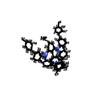 Cc1ccc(-c2ccc3c4ccc(-c5ccc(C)cc5)cc4n(-c4cc(C#N)cc(-n5c6cc(-c7ccc(C)cc7)ccc6c6ccc(-c7ccc(C)cc7)cc65)c4-c4cc(C)nc(C)c4)c3c2)cc1